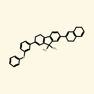 CC1(C)C2=C(CCC(c3cccc(Oc4ccccc4)c3)=C2)c2ccc(C3=CC4=C(C=CCC4)CC3)cc21